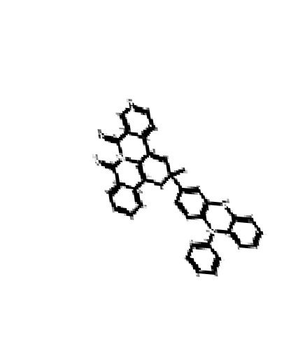 CC1(c2ccc3c(c2)Oc2ccccc2N3c2ccccc2)C=c2c3ccncc3c(=O)n3c(=O)c4ccccc4c(c23)C1